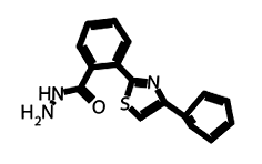 NNC(=O)c1ccccc1-c1nc(-c2ccccc2)cs1